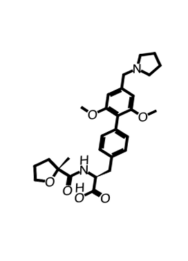 COc1cc(CN2CCCC2)cc(OC)c1-c1ccc(C[C@H](NC(=O)[C@@]2(C)CCCO2)C(=O)O)cc1